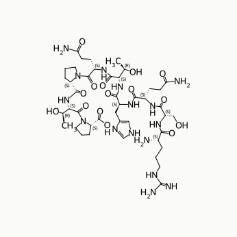 C[C@@H](O)[C@H](NC(=O)[C@H](Cc1c[nH]cn1)NC(=O)[C@H](CCC(N)=O)NC(=O)[C@H](CO)NC(=O)[C@@H](N)CCCNC(=N)N)C(=O)N[C@@H](CCC(N)=O)C(=O)N1CCC[C@H]1C(=O)N[C@H](C(=O)N1CCC[C@H]1C(=O)O)[C@@H](C)O